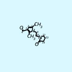 Cc1cc(C=O)c(C)n1CCN1CCCC1=O